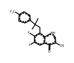 CC(C)(Cc1c(F)c(F)cc2c(=O)c(C#N)c[nH]c12)c1ccc(C(F)(F)F)cc1